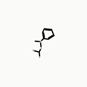 CN(SC(F)F)c1ccccc1